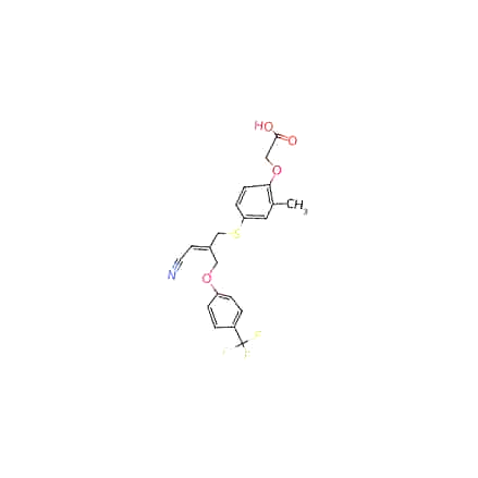 Cc1cc(SCC(=CC#N)COc2ccc(C(F)(F)F)cc2)ccc1OCC(=O)O